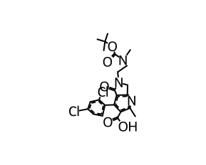 Cc1nc2c(c(-c3ccc(Cl)cc3Cl)c1C(=O)O)C(=O)N(CCN(C)C(=O)OC(C)(C)C)C2